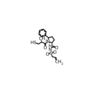 C=CCS(=O)(=O)NC(=O)[C@@H]1CCC(c2ccccc2)N1C(=O)[C@H](C)CS